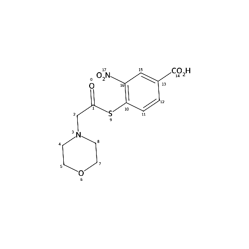 O=C(CN1CCOCC1)Sc1ccc(C(=O)O)cc1[N+](=O)[O-]